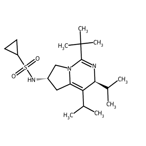 CC(C)C1=C2C[C@H](NS(=O)(=O)C3CC3)CN2C(C(C)(C)C)=N[C@H]1C(C)C